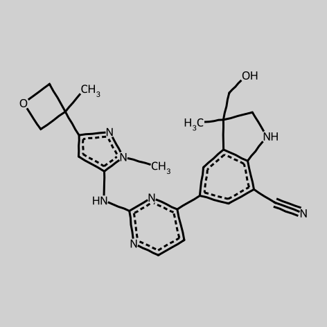 Cn1nc(C2(C)COC2)cc1Nc1nccc(-c2cc(C#N)c3c(c2)C(C)(CO)CN3)n1